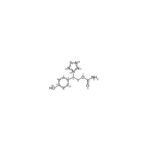 NC(=O)OCC(c1ccc(O)cc1)n1ncnn1